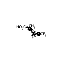 Cc1cc(OCc2sc(-c3ccc(C(F)(F)F)cc3)cc2CC(C)C)ccc1CCC(=O)O